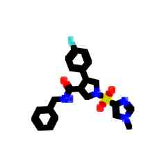 Cn1cnc(S(=O)(=O)N2CC(C(=O)NCc3ccccc3)C(c3ccc(F)cc3)C2)c1